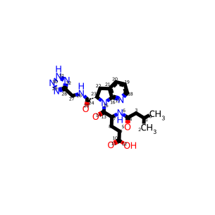 CC(C)CC(=O)NC(CCC(=O)O)C(=O)N1c2ncccc2C[C@H]1C(=O)NCc1nn[nH]n1